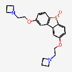 [O-][s+]1c2ccc(OCCN3CCC3)cc2c2cc(OCCN3CCC3)ccc21